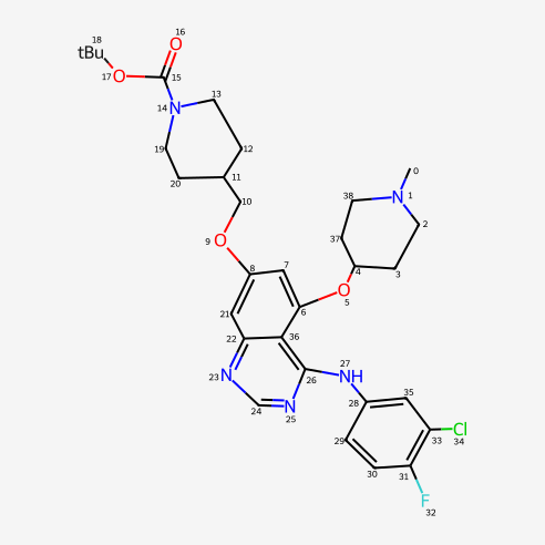 CN1CCC(Oc2cc(OCC3CCN(C(=O)OC(C)(C)C)CC3)cc3ncnc(Nc4ccc(F)c(Cl)c4)c23)CC1